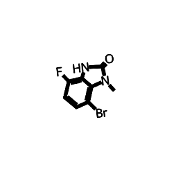 Cn1c(=O)[nH]c2c(F)ccc(Br)c21